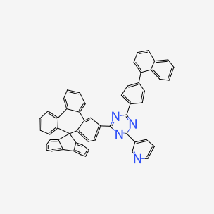 c1cncc(-c2nc(-c3ccc(-c4cccc5ccccc45)cc3)nc(-c3ccc4c(c3)-c3ccccc3-c3ccccc3C43c4ccccc4-c4ccccc43)n2)c1